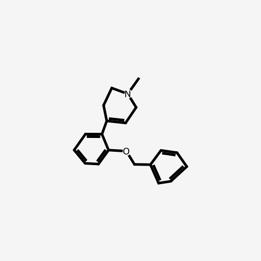 CN1CC=C(c2ccccc2OCc2ccccc2)CC1